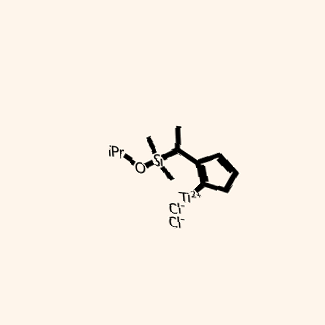 CC(C)O[Si](C)(C)C(C)C1=[C]([Ti+2])CC=C1.[Cl-].[Cl-]